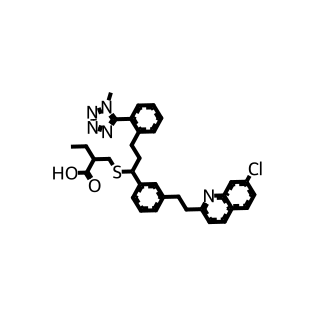 CCC(CSC(CCc1ccccc1-c1nnnn1C)c1cccc(CCc2ccc3ccc(Cl)cc3n2)c1)C(=O)O